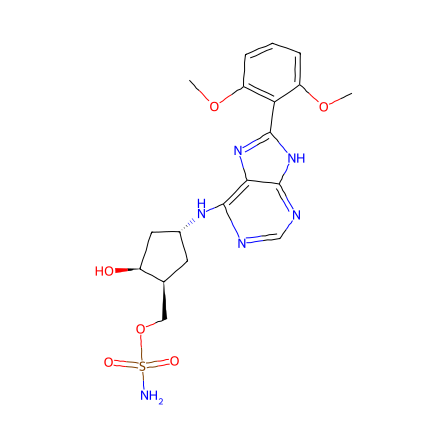 COc1cccc(OC)c1-c1nc2c(N[C@@H]3C[C@@H](COS(N)(=O)=O)[C@@H](O)C3)ncnc2[nH]1